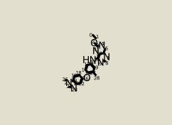 CCOc1ncc2ncnc(Nc3ccc(Oc4ccc5c(c4)ncn5C)c(C)c3)c2n1